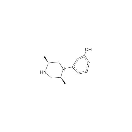 C[C@H]1CN(c2cccc(O)c2)[C@@H](C)CN1